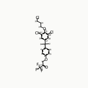 CC(C)(c1ccc(OCC(=O)C(F)(F)F)cc1)c1cc(Cl)c(OCCCCl)c(Cl)c1